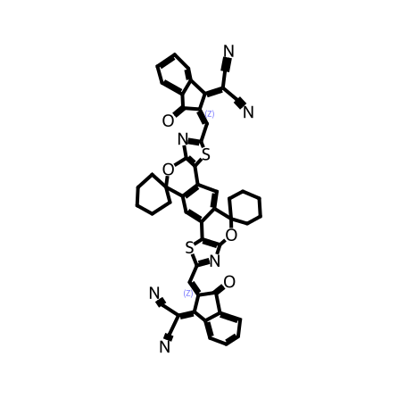 N#CC(C#N)=C1/C(=C/c2nc3c(s2)-c2cc4c(cc2C2(CCCCC2)O3)-c2sc(/C=C3\C(=O)c5ccccc5C3=C(C#N)C#N)nc2OC42CCCCC2)C(=O)c2ccccc21